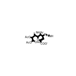 CC(=O)NC1C(N=[N+]=N)C=C(C(=O)[O-])OC1C(I)C(OC(C)=O)C(OC(C)=O)OC(C)=O